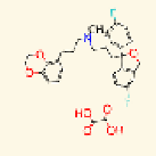 CN(CCCc1cccc2c1OCCO2)CCCC1(c2ccc(F)cc2)OCc2cc(F)ccc21.O=C(O)C(=O)O